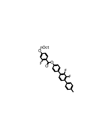 CCCCCCCCOc1ccc(C(=O)Oc2ccc(-c3ccc(-c4ccc(C)cc4)c(F)c3F)cc2)c(F)c1